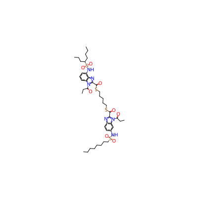 CCCCCCCCS(=O)(=O)Nc1ccc2nc(C(=O)SCCCCCSC(=O)c3nc4c(NS(=O)(=O)C(CCC)CCCC)cccc4n3C(=O)CC)n(C(=O)CC)c2c1